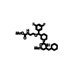 CNCC(CC1CCCCC1)NC(=O)N1CCCC(C(OCCNC(=O)OC)c2cc(F)cc(F)c2)C1